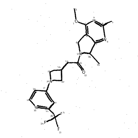 COc1nc(C)nc2c1CN(C(=O)CC1CN(c3ccnc(C(F)(F)F)c3)C1)C2C